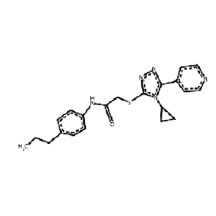 CCCc1ccc(NC(=O)CSc2nnc(-c3ccncc3)n2C2CC2)cc1